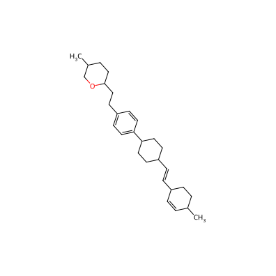 CC1C=CC(/C=C/C2CCC(c3ccc(CCC4CCC(C)CO4)cc3)CC2)CC1